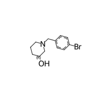 O[C@@H]1CCCN(Cc2ccc(Br)cc2)C1